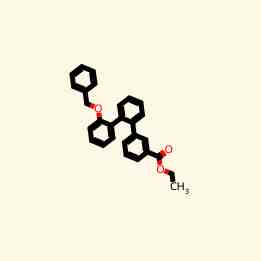 CCOC(=O)c1cccc(-c2ccccc2-c2ccccc2OCc2ccccc2)c1